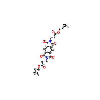 C=CCOC(=O)CCn1c(=O)c2cc3c(=O)n(CCC(=O)OCC=C)c(=O)c3cc2c1=O